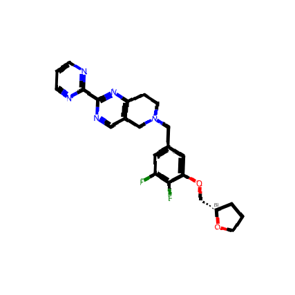 Fc1cc(CN2CCc3nc(-c4ncccn4)ncc3C2)cc(OC[C@@H]2CCCO2)c1F